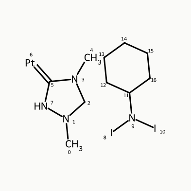 CN1CN(C)[C](=[Pt])N1.IN(I)C1CCCCC1